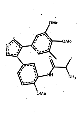 COc1ccc(-c2cnsc2-c2cc(C)c(OC)c(OC)c2)cc1NC(=O)C(C)N